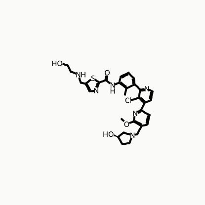 COc1nc(-c2ccnc(-c3cccc(NC(=O)c4ncc(CNCCO)s4)c3C)c2Cl)ccc1CN1CC[C@@H](O)C1